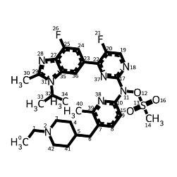 CCN1CCC(Cc2ccc(N(OS(C)(=O)=O)c3ncc(F)c(-c4cc(F)c5nc(C)n(C(C)C)c5c4)n3)nc2C)CC1